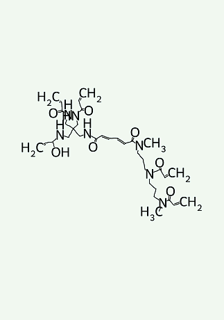 C=CC(=O)NCC(CNC(=O)C=C)(CNC(=O)/C=C/C=C/C(=O)N(C)CCCN(CCCN(C)C(=O)C=C)C(=O)C=C)CNC(O)C=C